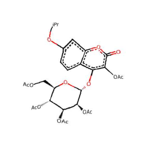 CC(=O)OC[C@H]1O[C@H](Oc2c(OC(C)=O)c(=O)oc3cc(OC(C)C)ccc23)[C@@H](OC(C)=O)[C@@H](OC(C)=O)[C@@H]1OC(C)=O